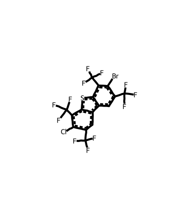 FC(F)(F)c1cc2c(sc3c(C(F)(F)F)c(Br)c(C(F)(F)F)cc32)c(C(F)(F)F)c1Cl